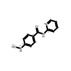 O=C(Nc1ccccn1)c1ccc(BO)cc1